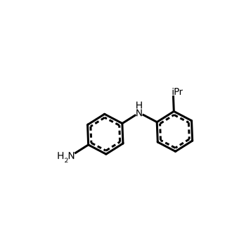 CC(C)c1ccccc1Nc1ccc(N)cc1